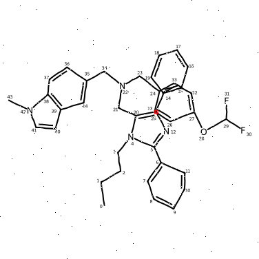 CCCCn1c(-c2ccccc2)nc(-c2ccccc2)c1CN(Cc1ccc(OC(F)F)cc1)Cc1ccc2c(ccn2C)c1